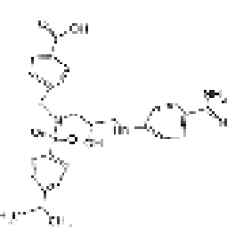 CC(C)c1ccc(S(=O)(=O)N(Cc2ccc(C(=O)O)cc2)CC(O)CNc2ccc(C(=N)N)cc2)cc1